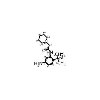 CC(C)(C)c1ccc(N)cc1NC(=O)CN1CCCCC1